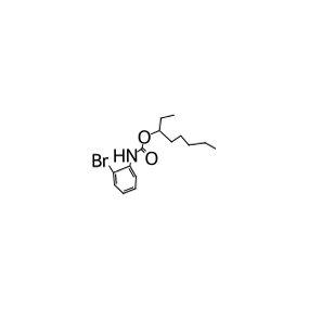 CCCCCC(CC)OC(=O)Nc1ccccc1Br